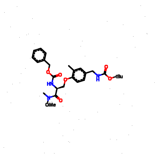 CON(C)C(=O)[C@H](COc1ccc(CNC(=O)OC(C)(C)C)cc1C)NC(=O)OCc1ccccc1